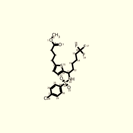 COC(=O)CCCc1ccc(C(CCCCC(F)(F)F)NS(=O)(=O)c2ccc(Cl)cc2)s1